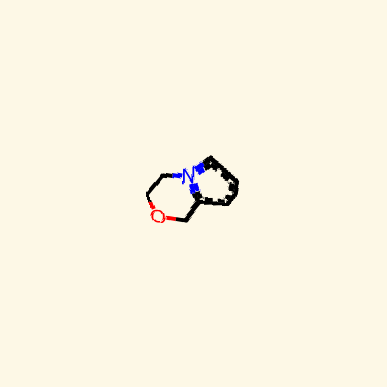 c1cc2n(c1)CCOC2